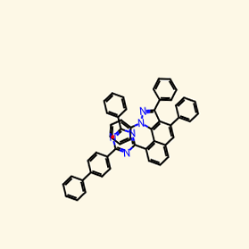 c1ccc(-c2ccc(-c3nc(-c4ccccc4)nc(-c4cccc5cc(-c6ccccc6)c6c(-c7ccccc7)nn(-c7ccccc7)c6c45)n3)cc2)cc1